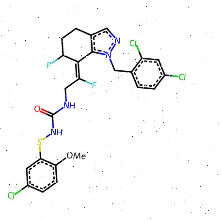 COc1ccc(Cl)cc1SNC(=O)NC/C(F)=C1/c2c(cnn2Cc2ccc(Cl)cc2Cl)CCC1F